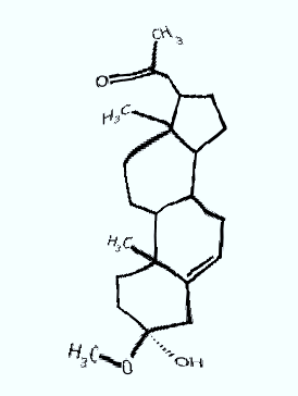 CO[C@@]1(O)CCC2(C)C(=CCC3C2CCC2(C)C(C(C)=O)CCC32)C1